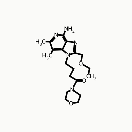 CCOCc1nc2c(N)nc(C)c(C)c2n1CCCC(=O)N1CCOCC1